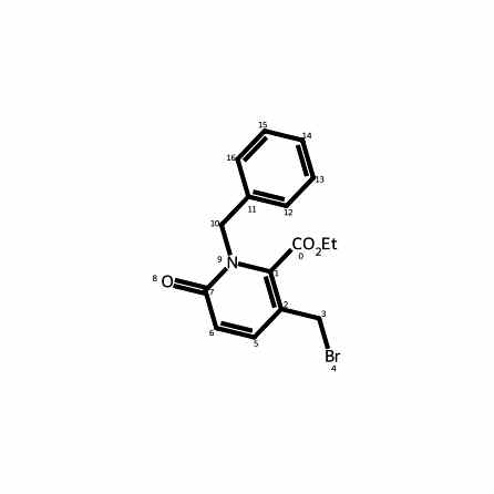 CCOC(=O)c1c(CBr)ccc(=O)n1Cc1ccccc1